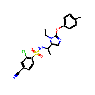 CCn1c(C(C)NS(=O)(=O)c2ccc(C#N)cc2Cl)cnc1Oc1ccc(C)cc1